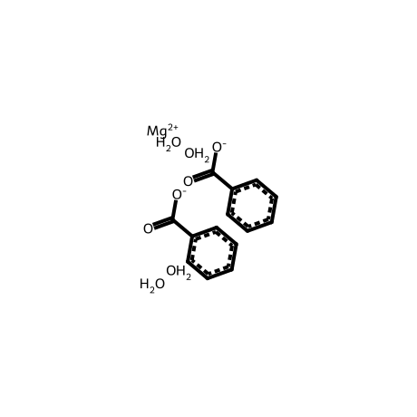 O.O.O.O.O=C([O-])c1ccccc1.O=C([O-])c1ccccc1.[Mg+2]